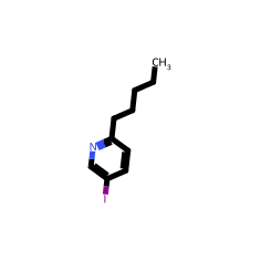 CCCCCc1ccc(I)cn1